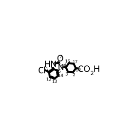 O=C(O)C1CCC(n2c(=O)[nH]c3c(Cl)cccc32)CC1